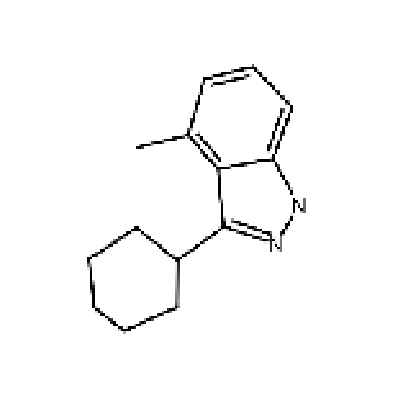 Cc1cccc2c1C(C1CCCCC1)=N[N]2